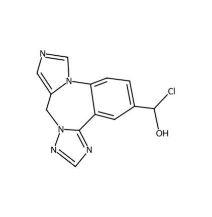 OC(Cl)c1ccc2c(c1)-c1ncnn1Cc1cncn1-2